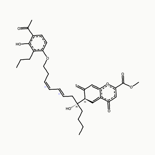 CCCC[C@@](O)(C/C=C/C=C\CCOc1ccc(C(C)=O)c(O)c1CCC)[C@@H]1C=c2c(=O)cc(C(=O)OC)oc2=CC1=S